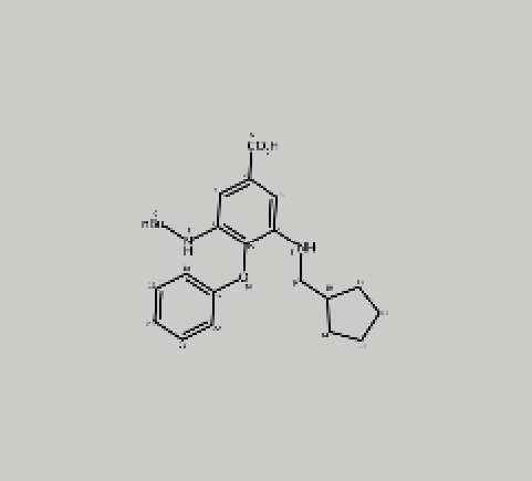 CCCCNc1cc(C(=O)O)cc(NCC2CCCC2)c1Oc1ccccc1